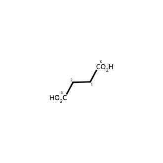 O=C(O)CC[14C](=O)O